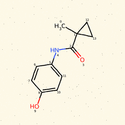 CC1(C(=O)Nc2ccc(O)cc2)CC1